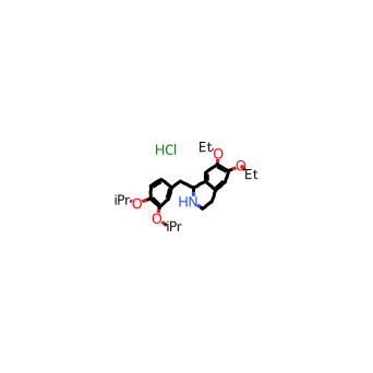 CCOc1cc2c(cc1OCC)C(Cc1ccc(OC(C)C)c(OC(C)C)c1)NCC2.Cl